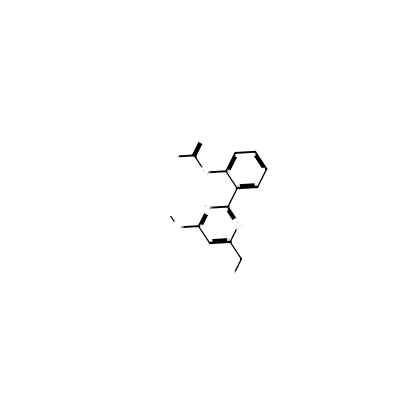 CCc1cc(OC)nc(-c2ccccc2NC(=O)O)n1